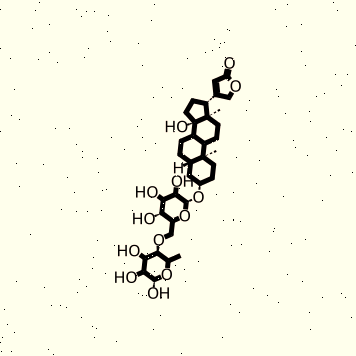 CC1O[C@H](O)C(O)C(O)[C@H]1OCC1O[C@@H](O[C@H]2CC[C@]3(C)C4CC[C@]5(C)[C@@H](C6=CC(=O)OC6)CC[C@]5(O)C4CC[C@H]3C2)C(O)C(O)[C@H]1O